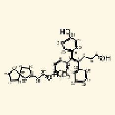 C=C(\C=C/C(=C\C)C(=C(/CCCO)c1ccccc1)/c1ccc(O)cc1)OCCN1CCC2(CCCC2)C1